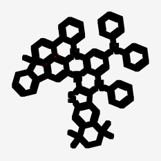 CC1(C)CCC(C)(C)c2cc3c4c(sc3cc21)B1c2cc3c(cc2N(c2ccccc2-c2ccccc2)c2cc(N(c5ccccc5)c5ccccc5)cc(c21)N4c1ccccc1)C(C)(C)C1CC=CC=C31